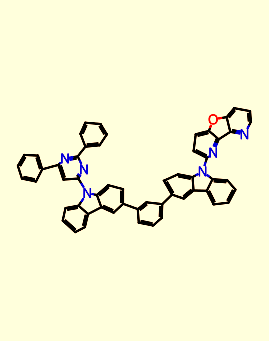 c1ccc(-c2cc(-n3c4ccccc4c4cc(-c5cccc(-c6ccc7c(c6)c6ccccc6n7-c6ccc7oc8cccnc8c7n6)c5)ccc43)nc(-c3ccccc3)n2)cc1